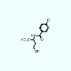 O=C(NC(CCS)C(=O)O)c1ccc(Cl)nc1